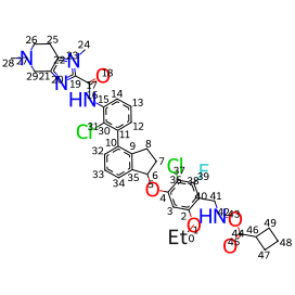 CCOc1cc(OC2CCc3c(-c4cccc(NC(=O)c5nc6c(n5C)CCN(C)C6)c4Cl)cccc32)c(Cl)c(F)c1CNOC(=O)C1CCC1